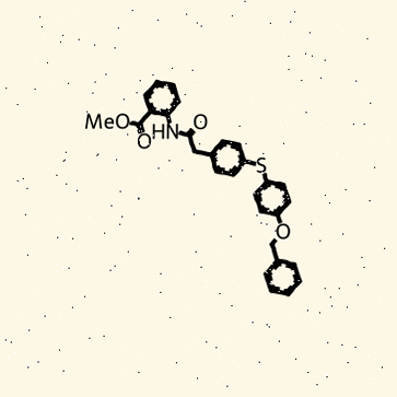 COC(=O)c1ccccc1NC(=O)Cc1ccc(Sc2ccc(OCc3ccccc3)cc2)cc1